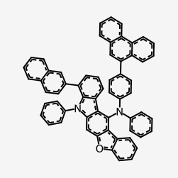 c1ccc(N(c2ccc(-c3cc4ccccc4c4ccccc34)cc2)c2c3c(cc4c2c2cccc(-c5ccc6ccccc6c5)c2n4-c2ccccc2)oc2ccccc23)cc1